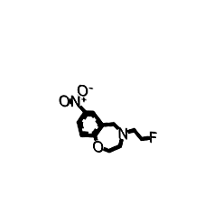 O=[N+]([O-])c1ccc2c(c1)CN(CCF)CCO2